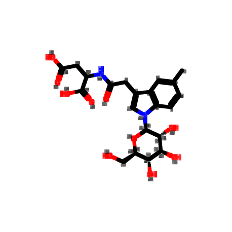 Cc1ccc2c(c1)c(CC(=O)NC(CC(=O)O)C(=O)O)cn2[C@@H]1O[C@H](CO)[C@@H](O)[C@H](O)[C@H]1O